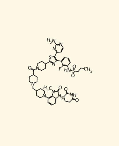 CCCS(=O)(=O)Nc1cccc(-c2nc(C3CCN(C(=O)C4CCN(CC5CCN(c6cccc7c6n(C)c(=O)n7[C@H]6CCC(=O)NC6=O)CC5)CC4)CC3)sc2-c2ccnc(N)n2)c1F